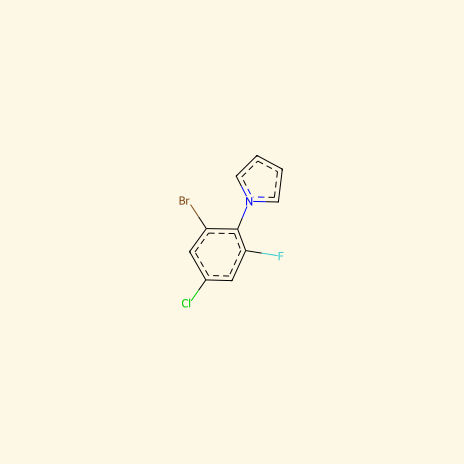 Fc1cc(Cl)cc(Br)c1-n1cccc1